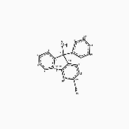 OC(c1ccccc1)(c1cccnc1)c1ccc(F)cc1F